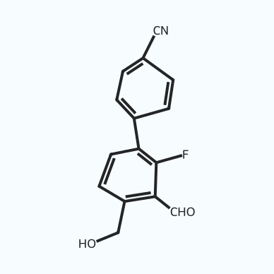 N#Cc1ccc(-c2ccc(CO)c(C=O)c2F)cc1